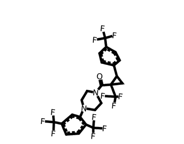 O=C(N1CCN(c2cc(C(F)(F)F)ccc2C(F)(F)F)CC1)C1(C(F)(F)F)CC1c1ccc(C(F)(F)F)cc1